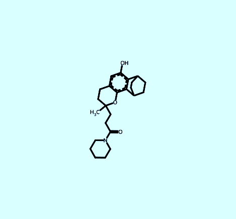 CC1(CCC(=O)N2CCCCC2)CCc2cc(O)c3c(c2O1)C1CCC3CC1